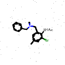 CC(=O)Nc1c(Br)cc(C)cc1CN(C)Cc1ccccc1